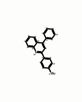 CC(C)(C)c1ccc(-c2cc(-c3ccccc3)c3ccccc3n2)cc1